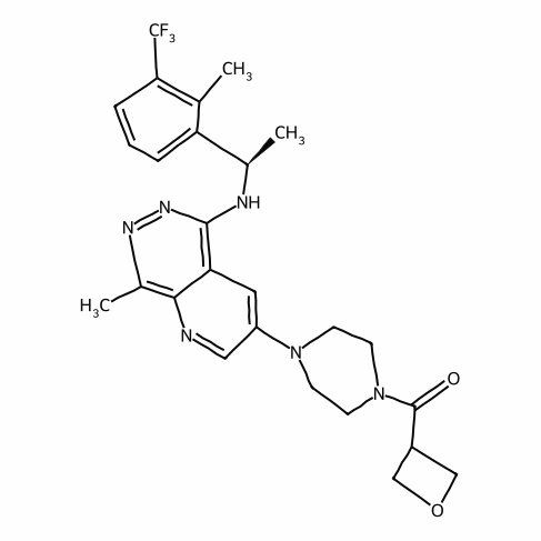 Cc1c([C@@H](C)Nc2nnc(C)c3ncc(N4CCN(C(=O)C5COC5)CC4)cc23)cccc1C(F)(F)F